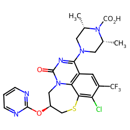 C[C@@H]1CN(c2nc(=O)n3c4c(c(Cl)c(C(F)(F)F)cc24)SC[C@@H](Oc2ncccn2)C3)C[C@H](C)N1C(=O)O